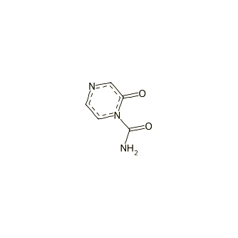 NC(=O)n1ccncc1=O